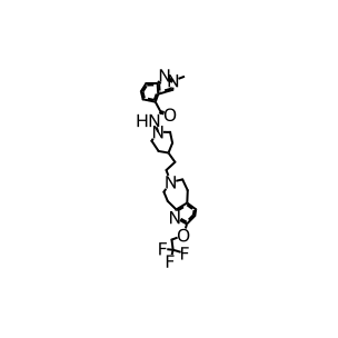 Cn1cc2c(C(=O)NN3CCC(CCN4CCc5ccc(OCC(F)(F)F)nc5CC4)CC3)cccc2n1